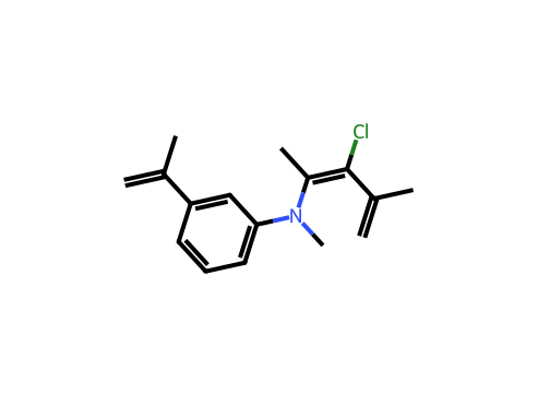 C=C(C)/C(Cl)=C(/C)N(C)c1cccc(C(=C)C)c1